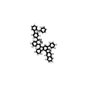 c1ccc(-n2c3ccccc3c3ccc(-c4nnc(C5c6ccccc6-c6c5cc5c7ccccc7n7c8cc9ccccc9cc8c6c57)c5ccccc45)cc32)cc1